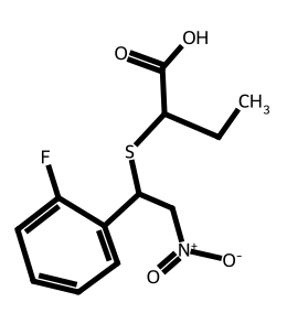 CCC(SC(C[N+](=O)[O-])c1ccccc1F)C(=O)O